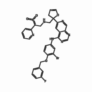 O=S(=O)=C(CNCC1(c2cc3c(Nc4ccc(OCc5cccc(F)c5)c(Br)c4)ncnc3cn2)CC=CO1)c1ccccn1